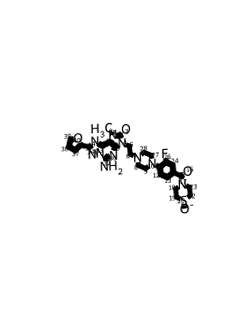 Cn1c(=O)n(CCN2CCN(c3ccc(C(=O)N4CC[S+]([O-])CC4)cc3F)CC2)c2nc(N)n3nc(-c4ccco4)nc3c21